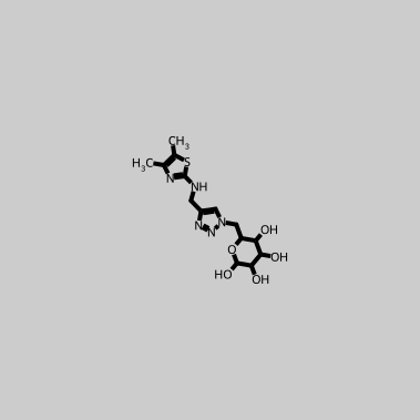 Cc1nc(NCc2cn(CC3OC(O)C(O)C(O)C3O)nn2)sc1C